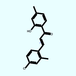 Cc1ccc(C(=O)/C=C/c2ccc(Cl)cc2C)c(O)c1